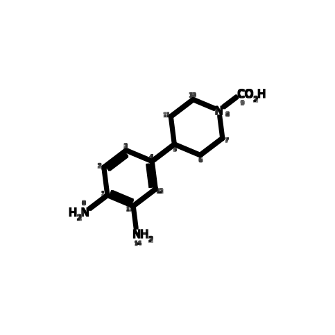 Nc1ccc(C2CCN(C(=O)O)CC2)cc1N